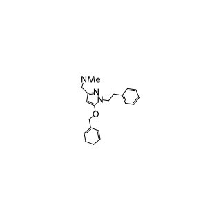 CNCc1cc(OCC2=CCCC=C2)n(CCc2ccccc2)n1